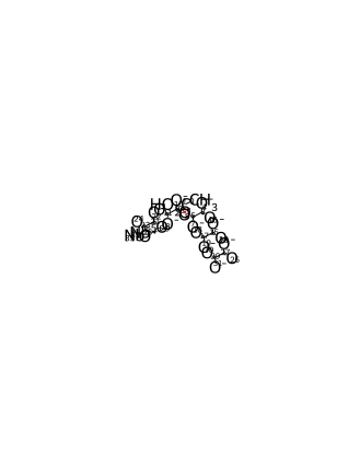 CC(=O)O.O=C([O-])C(=O)[O-].O=C([O-])C(=O)[O-].O=C([O-])C(=O)[O-].O=C([O-])C(=O)[O-].O=C([O-])C(=O)[O-].[Nb+5].[Nb+5]